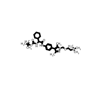 Cc1nn(COCC[Si](C)(C)C)c(C)c1-c1ccc(NC(=O)C(NC(=O)OC(C)(C)C)C2CCCCC2)cc1